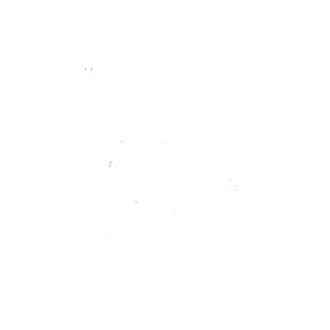 COc1ccc2c(O)c(-c3ccccc3OC)c(=O)[nH]c2c1